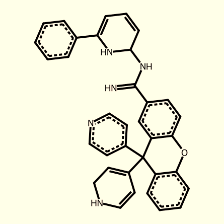 N=C(NC1C=CC=C(c2ccccc2)N1)c1ccc2c(c1)C(C1=CCNC=C1)(c1ccncc1)c1ccccc1O2